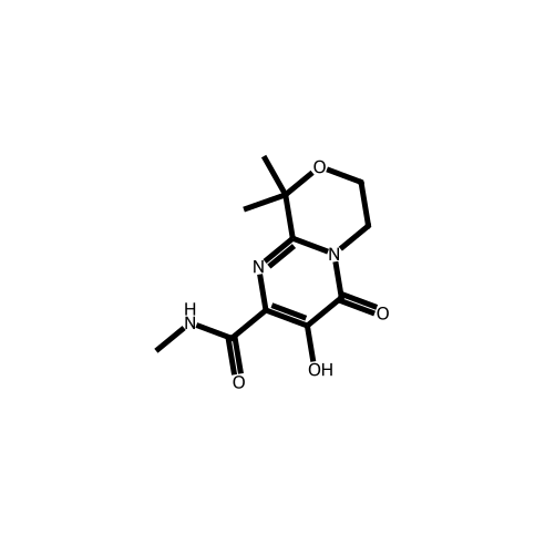 CNC(=O)c1nc2n(c(=O)c1O)CCOC2(C)C